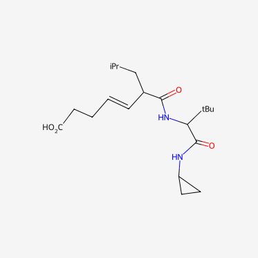 CC(C)CC(C=CCCC(=O)O)C(=O)NC(C(=O)NC1CC1)C(C)(C)C